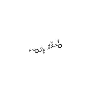 N#Cc1ccccc1OC[C@@H](O)CNCCNC(=O)Cc1ccc(O)cc1